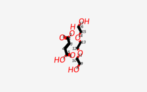 O=C(O)/C=C/C(=O)O.OCCOCCOCCO